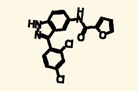 O=C(Nc1ccc2[nH]nc(-c3ccc(Cl)cc3Cl)c2c1)c1ccco1